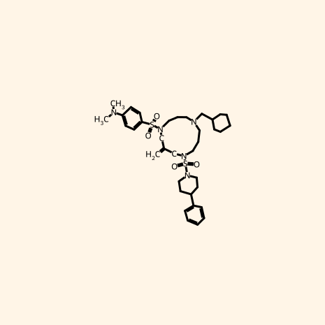 C=C1CN(S(=O)(=O)c2ccc(N(C)C)cc2)CCCN(CC2CCCCC2)CCCN(S(=O)(=O)N2CCC(c3ccccc3)CC2)C1